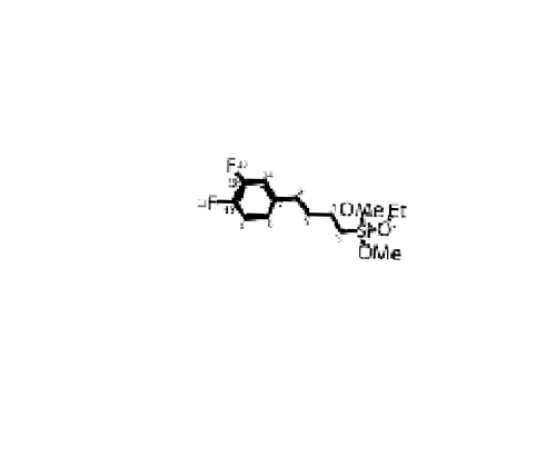 CCO[Si](CCCCc1ccc(F)c(F)c1)(OC)OC